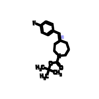 CC(C)(C)OC(=O)N1CCC/C(=C/c2ccc(F)cc2)CC1